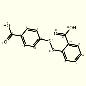 O=C(O)c1ccc(SSc2ccccc2C(=O)O)cc1